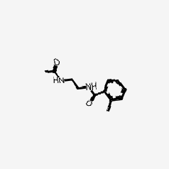 CC(=O)NCCNC(=O)c1ccccc1C